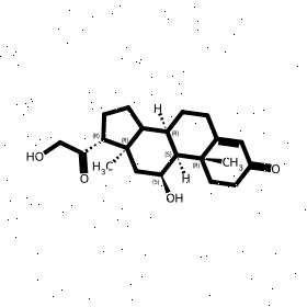 C[C@]12CCC(=O)C=C1CC[C@@H]1C3CC[C@@H](C(=O)CO)[C@]3(C)C[C@H](O)[C@@H]12